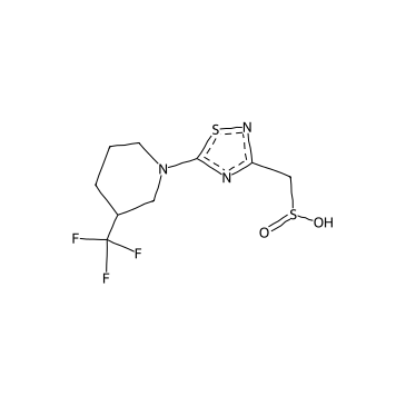 O=S(O)Cc1nsc(N2CCCC(C(F)(F)F)C2)n1